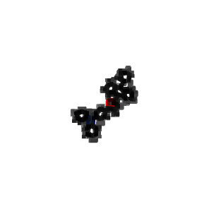 c1ccc(-c2c3ccccc3c(-c3ccc(-c4ccc(N(c5ccccc5)c5ccccc5)cc4)o3)c3ccccc23)cc1